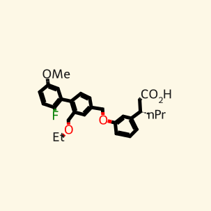 CCC[C@@H](CC(=O)O)c1cccc(OCc2ccc(-c3cc(OC)ccc3F)c(COCC)c2)c1